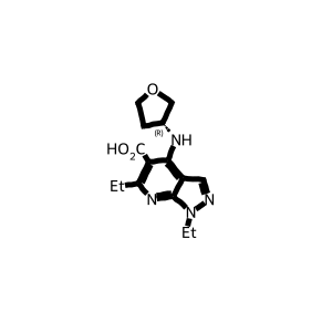 CCc1nc2c(cnn2CC)c(N[C@@H]2CCOC2)c1C(=O)O